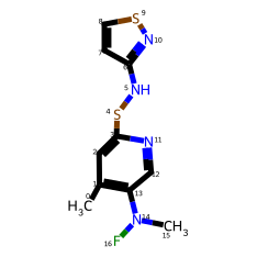 Cc1cc(SNc2ccsn2)ncc1N(C)F